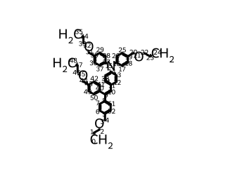 C=CCOCc1ccc(C(=Cc2ccc(N(c3ccc(COCC=C)cc3)c3ccc(COCC=C)cc3)cc2)c2ccc(COCC=C)cc2)cc1